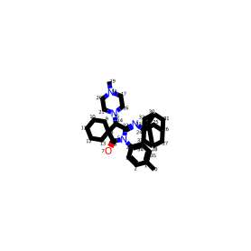 Cc1ccc(N2C(=O)C3(CCCCC3)C(N3CCN(C)CC3)C2=NC23CC4CC(CC(C4)C2)C3)cc1